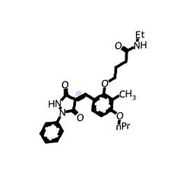 CCCOc1ccc(/C=C2/C(=O)NN(c3ccccc3)C2=O)c(OCCCC(=O)NCC)c1C